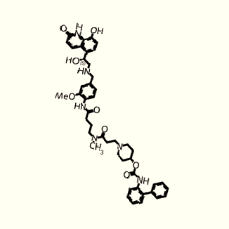 COc1cc(CNC[C@@H](O)c2ccc(O)c3[nH]c(=O)ccc23)ccc1NC(=O)CCCN(C)C(=O)CCN1CCC(OC(=O)Nc2ccccc2-c2ccccc2)CC1